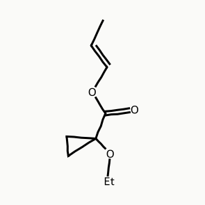 CC=COC(=O)C1(OCC)CC1